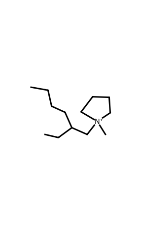 CCCCC(CC)C[N+]1(C)CCCC1